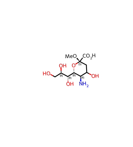 CO[C@@]1(C(=O)O)CC(O)[C@@H](N)[C@H]([C@H](O)[C@H](O)CO)O1